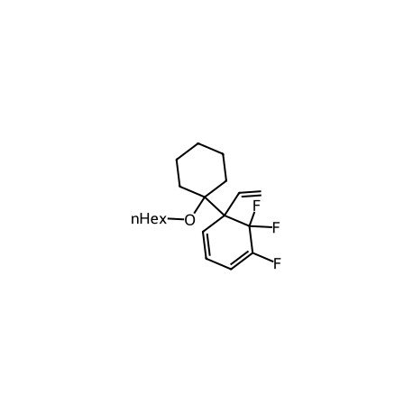 C=CC1(C2(OCCCCCC)CCCCC2)C=CC=C(F)C1(F)F